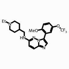 CCN1CCC(CNc2ccc3ncc(-c4cc(OC(F)(F)F)ccc4OC)n3n2)CC1